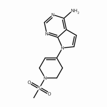 CS(=O)(=O)N1CC=C(n2ccc3c(N)ncnc32)CC1